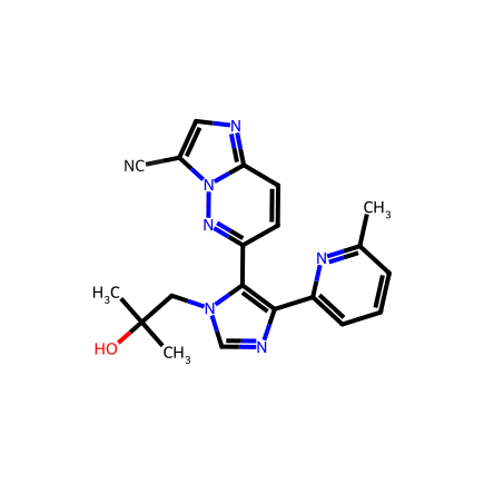 Cc1cccc(-c2ncn(CC(C)(C)O)c2-c2ccc3ncc(C#N)n3n2)n1